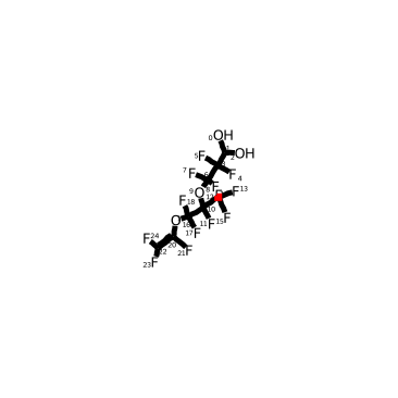 OC(O)C(F)(F)C(F)(F)OC(F)(C(F)(F)F)C(F)(F)OC(F)=C(F)F